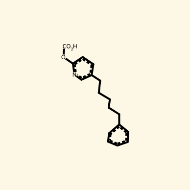 O=C(O)Oc1ccc(CCCCCc2ccccc2)cn1